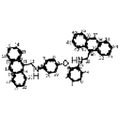 c1ccc(Oc2ccc(NCc3c4ccccc4cc4ccccc34)cc2)c(NCc2c3ccccc3cc3ccccc23)c1